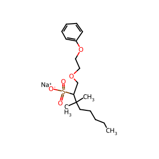 CCCCCC(C)(C)C(COCCOc1ccccc1)S(=O)(=O)[O-].[Na+]